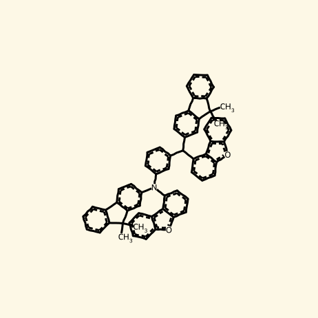 CC1(C)c2ccccc2-c2ccc(C(c3cccc(N(c4ccc5c(c4)C(C)(C)c4ccccc4-5)c4cccc5oc6ccccc6c45)c3)c3cccc4oc5ccccc5c34)cc21